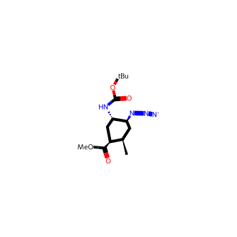 COC(=O)[C@H]1C[C@H](NC(=O)OC(C)(C)C)[C@@H](N=[N+]=[N-])C[C@H]1C